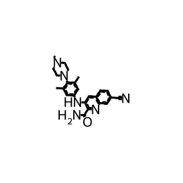 Cc1cc(Nc2cc3ccc(C#N)cc3nc2C(N)=O)cc(C)c1N1CCN(C)CC1